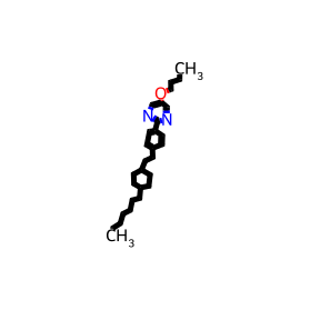 CCCCCCCC1CCC(CCc2ccc(-c3ncc(OCCCC)cn3)cc2)CC1